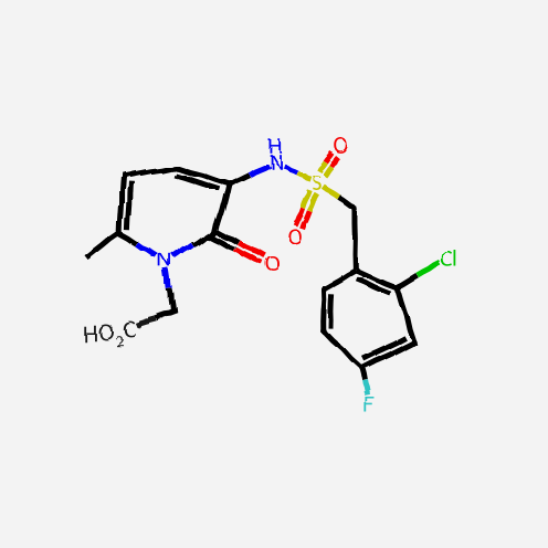 Cc1ccc(NS(=O)(=O)Cc2ccc(F)cc2Cl)c(=O)n1CC(=O)O